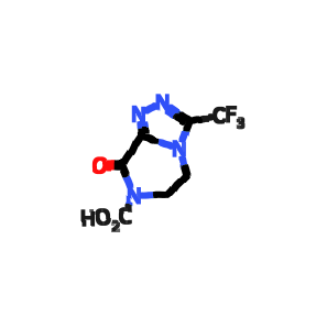 O=C(O)N1CCn2c(nnc2C(F)(F)F)C1=O